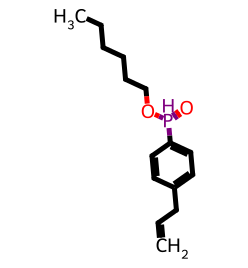 C=CCc1ccc([PH](=O)OCCCCCC)cc1